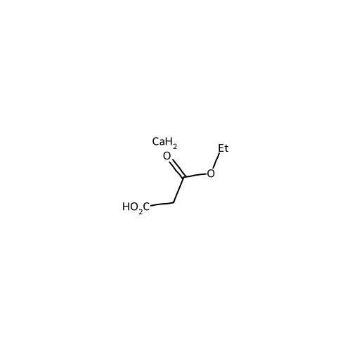 CCOC(=O)CC(=O)O.[CaH2]